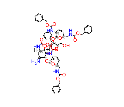 N[C@H]1C[C@H]2NC(=O)O[C@@H]2[C@@H](O[C@@H]2O[C@H](CO)[C@@H](O[C@H]3O[C@@H](CNC(=O)OCc4ccccc4)C=C[C@H]3NC(=O)OCc3ccccc3)[C@H]2O)[C@@H]1O[C@H]1O[C@H](CNC(=O)OCc2ccccc2)C=C[C@H]1NC(=O)OCc1ccccc1